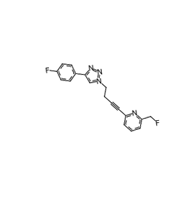 FCc1cccc(C#CCCn2cc(-c3ccc(F)cc3)nn2)n1